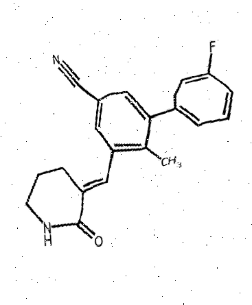 Cc1c(/C=C2\CCCNC2=O)cc(C#N)cc1-c1cccc(F)c1